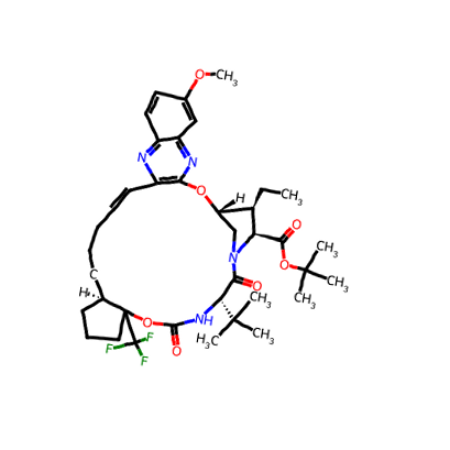 CC[C@@H]1[C@@H]2CN(C(=O)[C@H](C(C)(C)C)NC(=O)OC3(C(F)(F)F)CCC[C@H]3CCC/C=C/c3nc4ccc(OC)cc4nc3O2)[C@@H]1C(=O)OC(C)(C)C